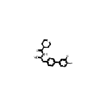 N#CC(Cc1ccc(-c2ccc(F)c(F)c2)cc1)NC(=O)C1CCOCC1